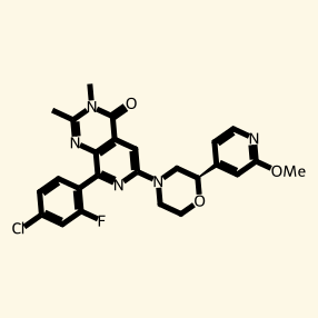 COc1cc([C@@H]2CN(c3cc4c(=O)n(C)c(C)nc4c(-c4ccc(Cl)cc4F)n3)CCO2)ccn1